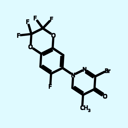 Cc1cn(-c2cc3c(cc2F)OC(F)(F)C(F)(F)O3)nc(Br)c1=O